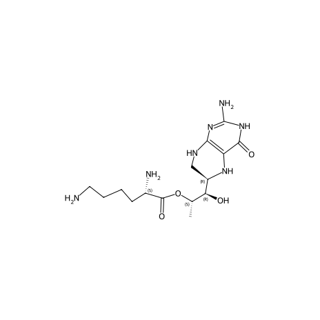 C[C@H](OC(=O)[C@@H](N)CCCCN)[C@H](O)[C@H]1CNc2nc(N)[nH]c(=O)c2N1